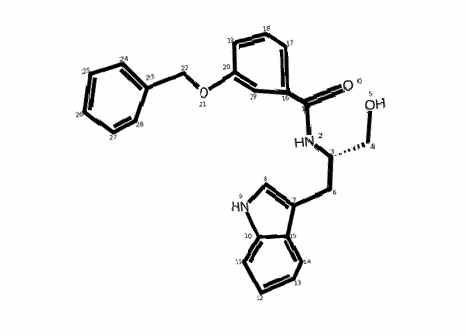 O=C(N[C@H](CO)Cc1c[nH]c2ccccc12)c1cccc(OCc2ccccc2)c1